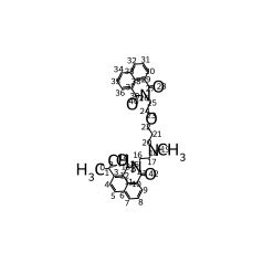 CC(C)c1ccc2cccc3c2c1C(=O)N(CCN(C)CCCOCCN1C(=O)c2cccc4cccc(c24)C1=O)C3=O